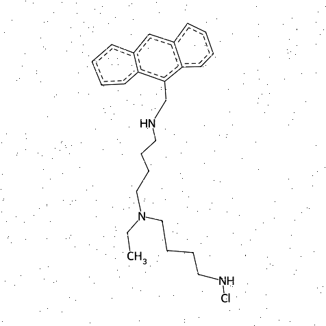 CCN(CCCCNCl)CCCCNCc1c2ccccc2cc2ccccc12